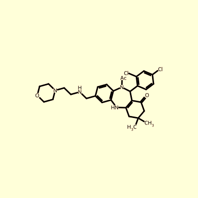 CC(=O)N1c2ccc(CNCCN3CCOCC3)cc2NC2=C(C(=O)CC(C)(C)C2)C1c1ccc(Cl)cc1Cl